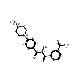 COC(=O)c1cccc(C(=O)C(F)C(=O)c2ccc(N3CCN(C)CC3)cc2)c1